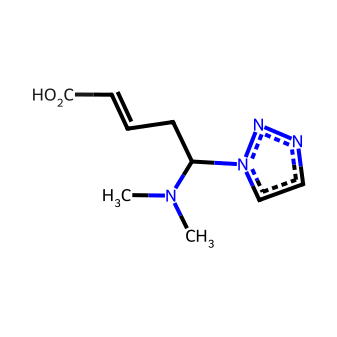 CN(C)C(CC=CC(=O)O)n1ccnn1